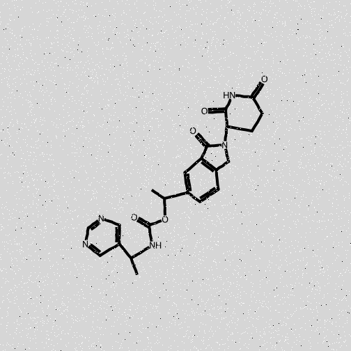 CC(NC(=O)OC(C)c1ccc2c(c1)C(=O)N(C1CCC(=O)NC1=O)C2)c1cncnc1